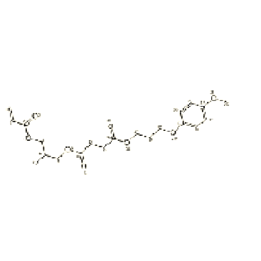 C=CC(=O)OCC(C)COC(=O)CCC(=O)OCCCOc1ccc(OC)cc1